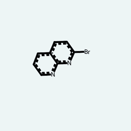 Brc1ccc2cccnc2n1